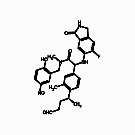 Cc1cc(C(Nc2cc3c(cc2F)CNC3=O)C(=O)N(C)Cc2cc(N=O)ccc2O)ccc1[C@@H](C)CCC=O